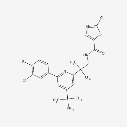 CC(C)(N)c1cc(-c2ccc(F)c(Cl)c2)nc(C(C)(CNC(=O)c2cnc(Cl)s2)C(F)(F)F)c1